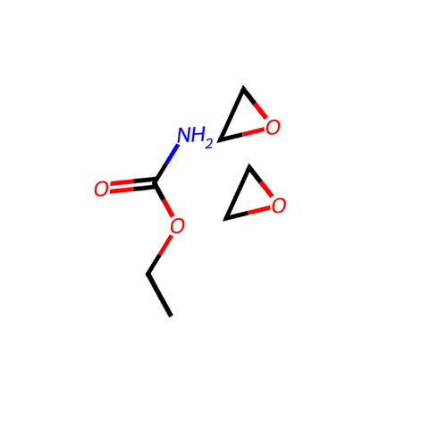 C1CO1.C1CO1.CCOC(N)=O